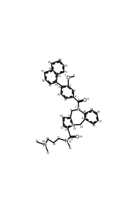 COc1cc(C(=O)N2Cc3ccc(C(=O)N(C)CCCN(C)C)n3Cc3ccccc32)ccc1-c1cccc2ccccc12